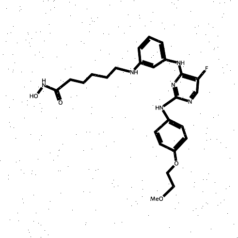 COCCOc1ccc(Nc2ncc(F)c(Nc3cccc(NCCCCCC(=O)NO)c3)n2)cc1